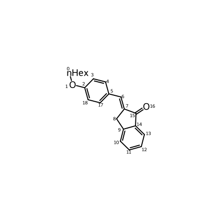 CCCCCCOc1ccc(/C=C2\Cc3ccccc3C2=O)cc1